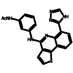 CC(=O)Nc1cccc(Nc2nc3c(-c4nnc[nH]4)cccc3c3sccc23)c1